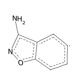 Nc1noc2cc[c]cc12